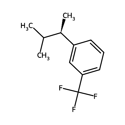 CC(C)[C@@H](C)c1cccc(C(F)(F)F)c1